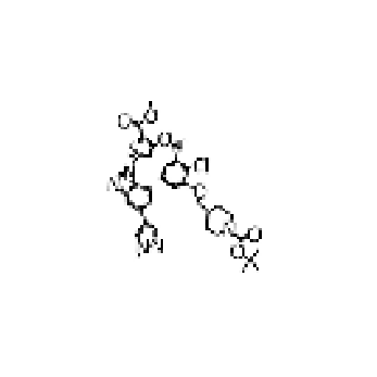 COC(=O)c1sc(-n2cnc3cc(-c4cnn(C)c4)ccc32)cc1O[C@H](C)c1cccc(OCC2CCN(C(=O)OC(C)(C)C)CC2)c1Cl